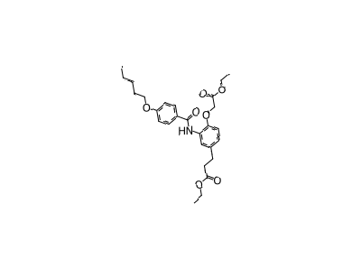 CCCCCOc1ccc(C(=O)Nc2cc(CCC(=O)OCC)ccc2OCC(=O)OCC)cc1